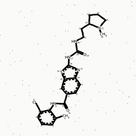 Cc1cccc(Cl)c1NC(=O)c1ccc2nc(NC(=O)NCCC3CCCN3C)sc2c1